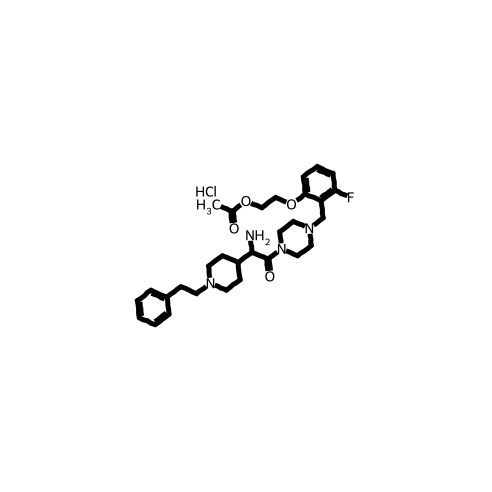 CC(=O)OCCOc1cccc(F)c1CN1CCN(C(=O)C(N)C2CCN(CCc3ccccc3)CC2)CC1.Cl